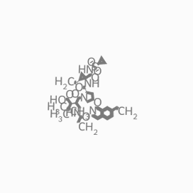 C=CC(=O)NCC(C(=O)N1C[C@H](Oc2nccc3ccc(C=C)cc23)C[C@H]1C(=O)N[C@]1(C(=O)NS(=O)(=O)C2CC2)C[C@H]1C=C)[C@H](C(=O)O)C(C)(C)C